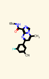 Cc1cc(-c2cc(F)cc(C#N)c2)nc2c(C(=O)NC(C)(C)C)ncn12